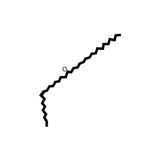 CCCCCCCC/C=C\CCCCCCCC(=O)CCCCCCCCCCCCCCCCC